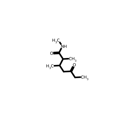 CCC(=O)CC(C)C(C)C(=O)NC